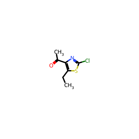 CCc1sc(Cl)nc1C(C)=O